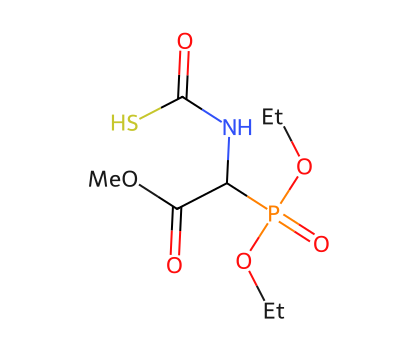 CCOP(=O)(OCC)C(NC(=O)S)C(=O)OC